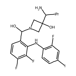 CC(C)C(N)C1(O)CN(C(O)c2ccc(F)c(F)c2Nc2ccc(I)cc2F)C1